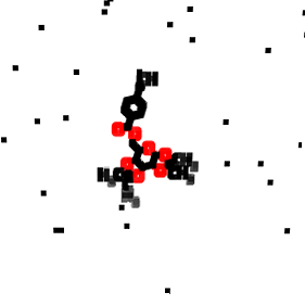 C#Cc1ccc(C(=O)OCC2OC3OC(C)(C)OC3C3OC(C)(C)OC23)cc1